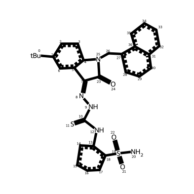 CC(C)(C)c1ccc2c(c1)C(=NNC(=S)Nc1ccccc1S(N)(=O)=O)C(=O)N2Cc1cccc2ccccc12